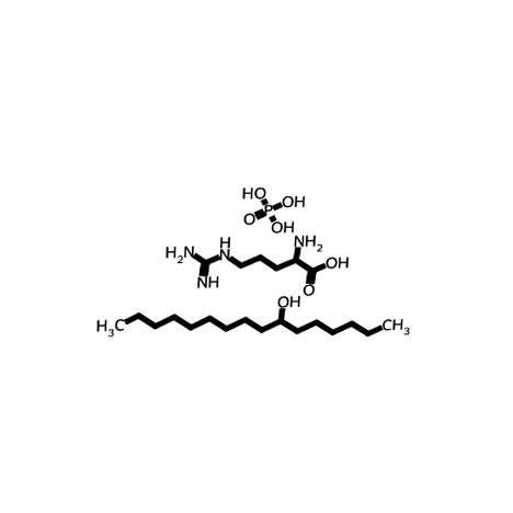 CCCCCCCCCC(O)CCCCCC.N=C(N)NCCCC(N)C(=O)O.O=P(O)(O)O